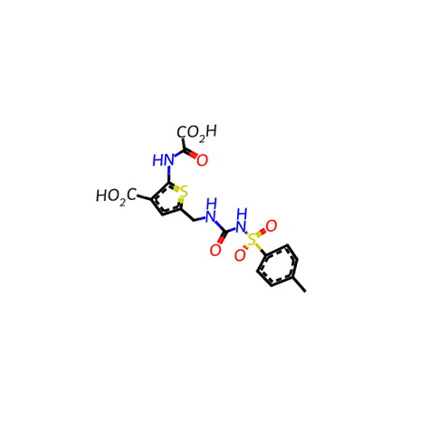 Cc1ccc(S(=O)(=O)NC(=O)NCc2cc(C(=O)O)c(NC(=O)C(=O)O)s2)cc1